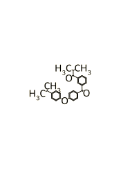 CC(C)C(=O)c1cccc(C(=O)c2ccc(Oc3ccc(C(C)C)cc3)cc2)c1